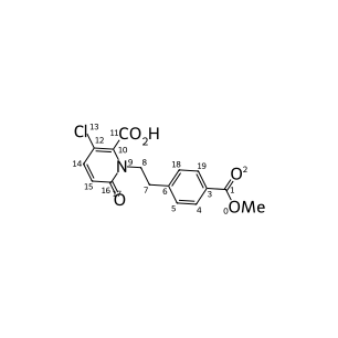 COC(=O)c1ccc(CCn2c(C(=O)O)c(Cl)ccc2=O)cc1